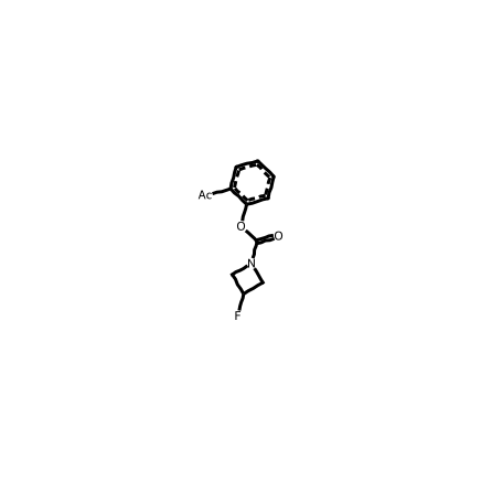 CC(=O)c1ccccc1OC(=O)N1CC(F)C1